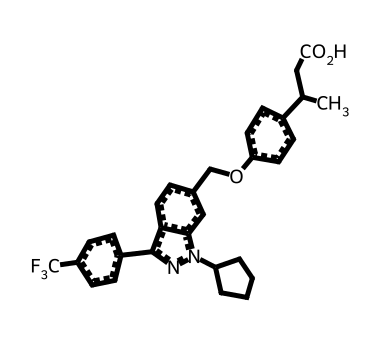 CC(CC(=O)O)c1ccc(OCc2ccc3c(-c4ccc(C(F)(F)F)cc4)nn(C4CCCC4)c3c2)cc1